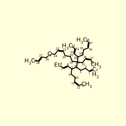 C=CCC[C](C(/C=C/CC)CC/C=C\C)C(C/C=C\C)(CCC/C=C\COC/C=C/C)C(/C=C/C)CC/C=C\C